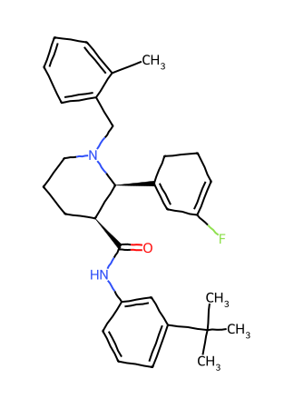 Cc1ccccc1CN1CCC[C@H](C(=O)Nc2cccc(C(C)(C)C)c2)[C@@H]1C1=CC(F)=CCC1